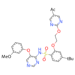 COc1cccc(Oc2cncnc2NS(=O)(=O)c2ccc(C(C)(C)C)cc2OCCOc2ncc(C(C)=O)cn2)c1